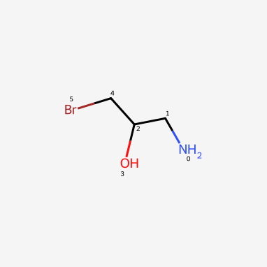 NCC(O)CBr